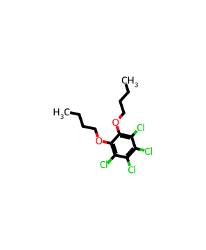 CCCCOc1c(Cl)c(Cl)c(Cl)c(Cl)c1OCCCC